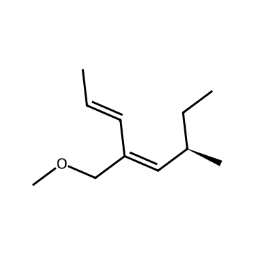 CC=C/C(=C\[C@H](C)CC)COC